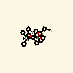 N#Cc1cccc(-c2ccc3c(c2)c2ccccc2n3-c2c(-c3ccccc3-n3c4ccccc4c4ccccc43)cc(-c3cc(-c4ccccc4)nc(-c4ccccc4)n3)cc2-c2ccccc2-n2c3ccccc3c3ccccc32)c1